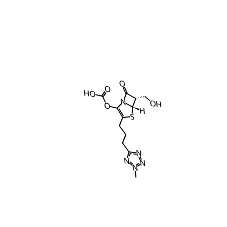 Cn1nnc(CCCC2=C(OC(=O)O)N3C(=O)[C@H](CO)[C@@H]3S2)n1